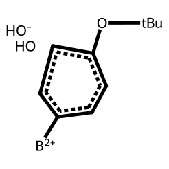 [B+2]c1ccc(OC(C)(C)C)cc1.[OH-].[OH-]